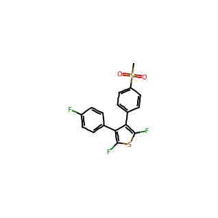 CS(=O)(=O)c1ccc(-c2c(F)sc(F)c2-c2ccc(F)cc2)cc1